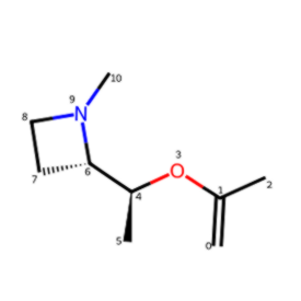 C=C(C)O[C@@H](C)[C@@H]1CCN1C